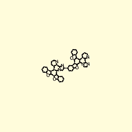 c1ccc2c(c1)oc1c3c4cc(-c5cn6c(n5)c5ncccc5c5c7c8ccccc8oc7c7oc8ccccc8c7c56)ccc4oc3c3c(c4cccnc4c4nccn43)c21